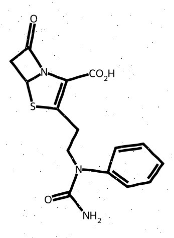 NC(=O)N(CCC1=C(C(=O)O)N2C(=O)CC2S1)c1ccccc1